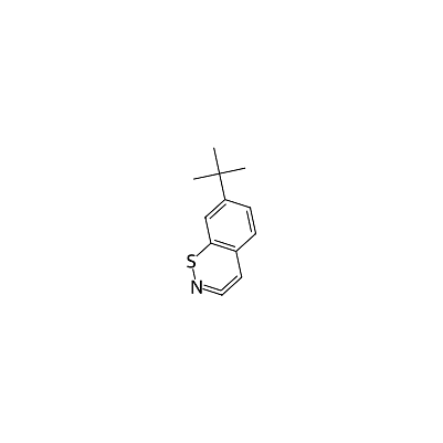 CC(C)(C)c1ccc2c(c1)SN=C=C2